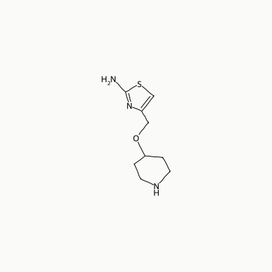 Nc1nc(COC2CCNCC2)cs1